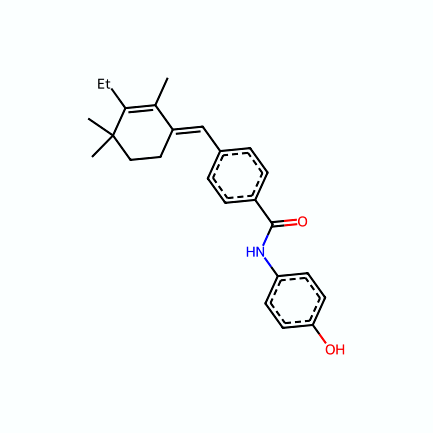 CCC1=C(C)C(=Cc2ccc(C(=O)Nc3ccc(O)cc3)cc2)CCC1(C)C